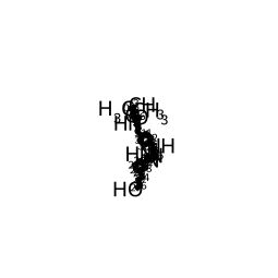 CC(C)(C)OC(=O)NCCc1ccc(Nc2nnc(-c3cccc(CCCO)c3)[nH]2)cc1